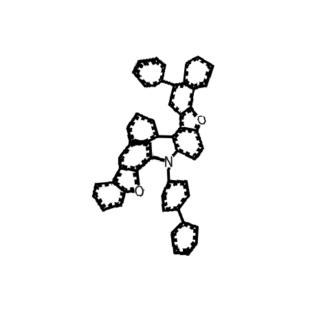 c1ccc(-c2ccc(N(c3ccc4oc5c6ccccc6c(-c6ccccc6)cc5c4c3-c3ccccc3)c3cccc4c3oc3ccccc34)cc2)cc1